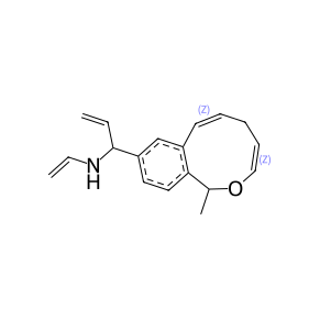 C=CNC(C=C)c1ccc2c(c1)/C=C\C/C=C\OC2C